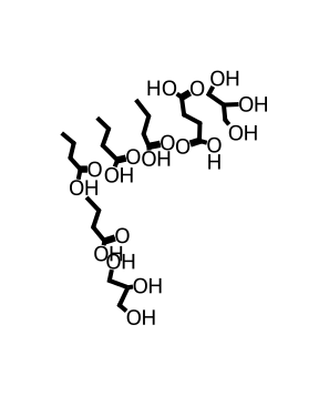 CCCC(=O)O.CCCC(=O)O.CCCC(=O)O.CCCC(=O)O.O=C(O)CCC(=O)O.OCC(O)CO.OCC(O)CO